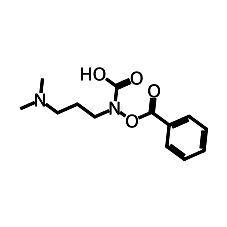 CN(C)CCCN(OC(=O)c1ccccc1)C(=O)O